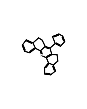 c1ccc(-c2c3c(nc4c2CCc2ccccc2-4)-c2ccccc2CC3)cc1